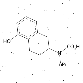 CCCN(C(=O)O)C1CCc2c(O)cccc2C1